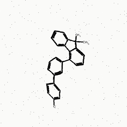 CC1(C)c2ccccc2-c2c(-c3cccc(-c4ccc(Cl)cc4)c3)cccc21